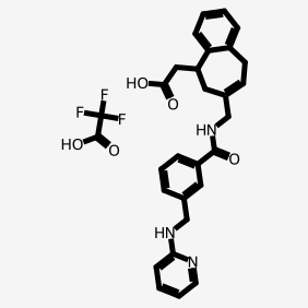 O=C(O)C(F)(F)F.O=C(O)CC1CC(CNC(=O)c2cccc(CNc3ccccn3)c2)=CCc2ccccc21